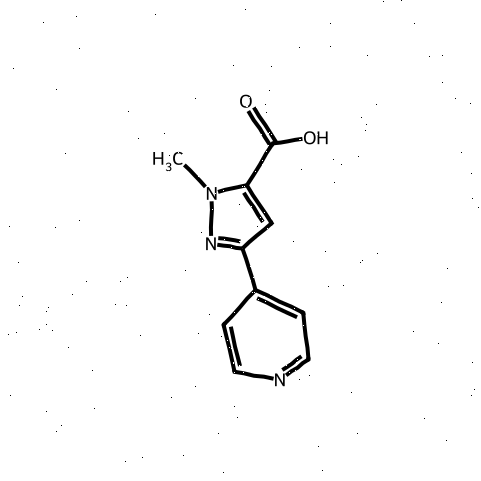 Cn1nc(-c2ccncc2)cc1C(=O)O